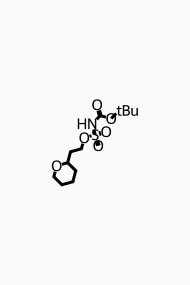 CC(C)(C)OC(=O)NS(=O)(=O)OCCC1CCCCO1